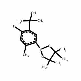 Cc1cc(F)c(C(C)(O)C(F)(F)F)cc1B1OC(C)(C)C(C)(C)O1